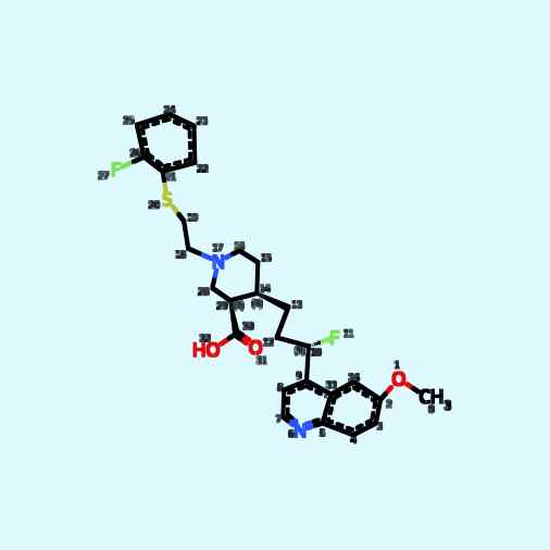 COc1ccc2nccc([C@@H](F)CC[C@@H]3CCN(CCSc4ccccc4F)C[C@@H]3C(=O)O)c2c1